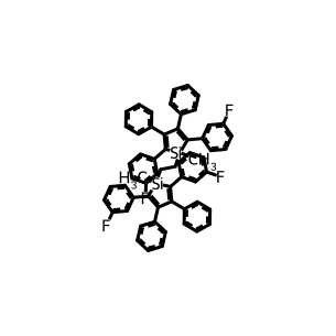 C[Si]1(CC[Si]2(C)C(c3cccc(F)c3)=C(c3ccccc3)C(c3ccccc3)=C2c2cccc(F)c2)C(c2cccc(F)c2)=C(c2ccccc2)C(c2ccccc2)=C1c1cccc(F)c1